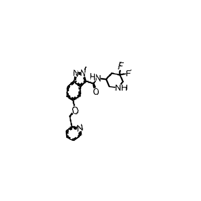 Cn1nc2ccc(OCc3ccccn3)cc2c1C(=O)NC1CNCC(F)(F)C1